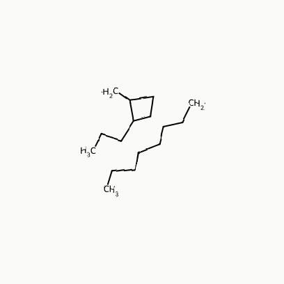 [CH2]C1CCC1CCC.[CH2]CCCCCCC